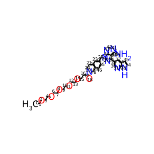 CCOCCOCCOCCOCCOCCC(=O)N1CCc2cc(Cn3nc(-c4cnc5[nH]ccc5c4)c4c(N)ncnc43)ccc2C1